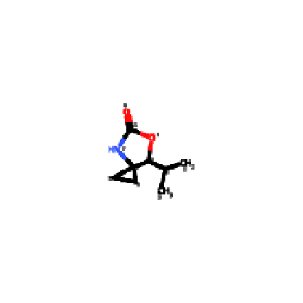 CC(C)C1OC(=O)NC12CC2